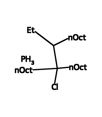 CCCCCCCCC(CC)C(Cl)(CCCCCCCC)CCCCCCCC.P